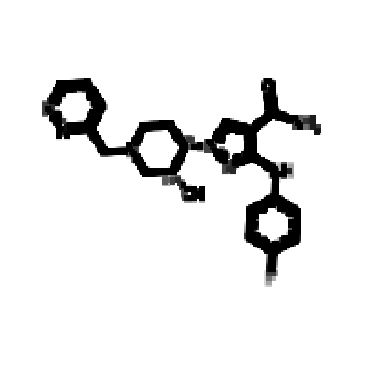 N#C[C@@H]1CN(Cc2cccnn2)CC[C@@H]1n1cc(C(N)=O)c(Nc2ccc(F)cc2)n1